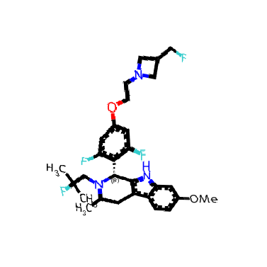 COc1ccc2c3c([nH]c2c1)[C@@H](c1c(F)cc(OCCN2CC(CF)C2)cc1F)N(CC(C)(C)F)C(C)C3